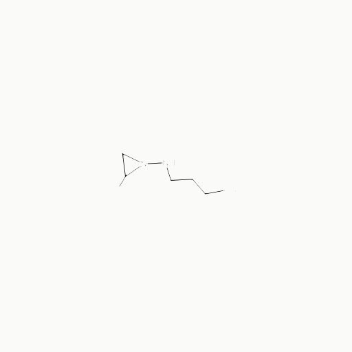 CCCCCCCCNN1CC1C